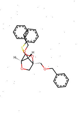 c1ccc(COC[C@@]23CO[C@@H]([C@@H](Sc4ccccc4)O2)[C@@H]3OCc2ccccc2)cc1